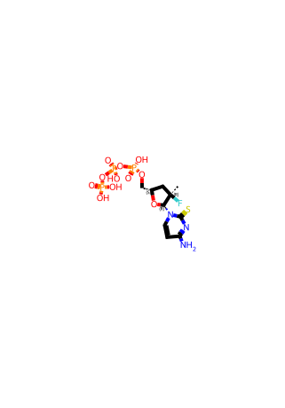 C[C@@]1(F)C[C@@H](COP(=O)(O)OP(=O)(O)OP(=O)(O)O)O[C@H]1n1ccc(N)nc1=S